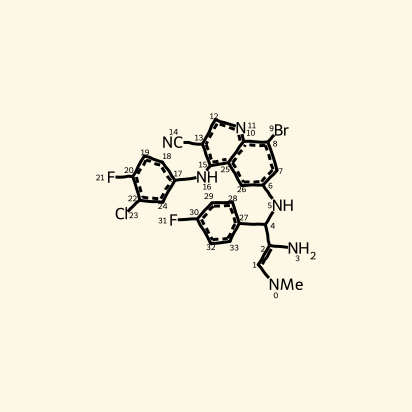 CN/C=C(\N)C(Nc1cc(Br)c2ncc(C#N)c(Nc3ccc(F)c(Cl)c3)c2c1)c1ccc(F)cc1